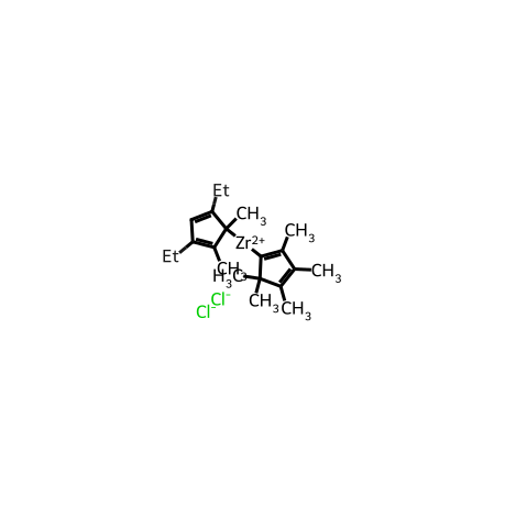 CCC1=CC(CC)=C(C)[C]1(C)[Zr+2][C]1=C(C)C(C)=C(C)C1(C)C.[Cl-].[Cl-]